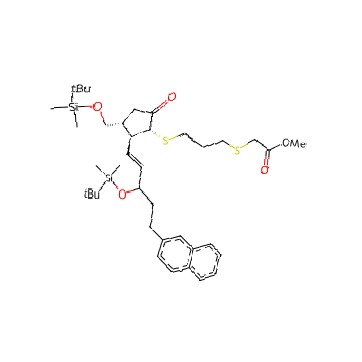 COC(=O)CSCCCS[C@H]1C(=O)C[C@@H](CO[Si](C)(C)C(C)(C)C)[C@@H]1/C=C/C(CCc1ccc2ccccc2c1)O[Si](C)(C)C(C)(C)C